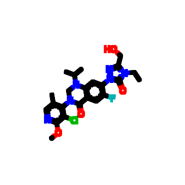 CCn1c(CO)nn(-c2cc3c(cc2F)C(=O)N(c2c(C)cnc(OC)c2Cl)CN3C(C)C)c1=O